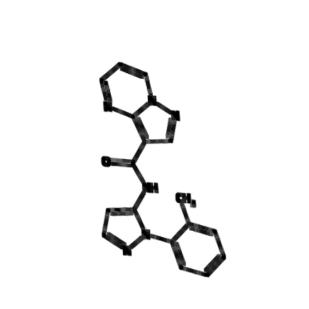 Cc1ccccc1-n1nccc1NC(=O)c1cnn2cccnc12